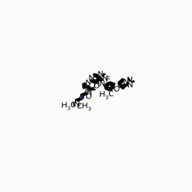 Cc1cc(Nc2ncnc3cnc4c(c23)OC[C@H]2CN4CCN2C(=O)/C=C/CN(C)C)c(F)cc1Oc1ccn2ncnc2c1